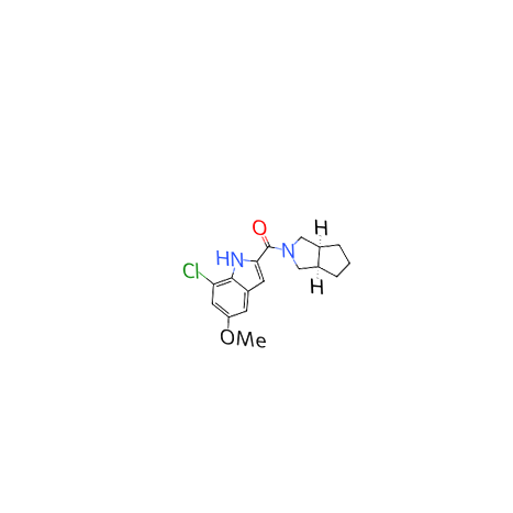 COc1cc(Cl)c2[nH]c(C(=O)N3C[C@H]4CCC[C@H]4C3)cc2c1